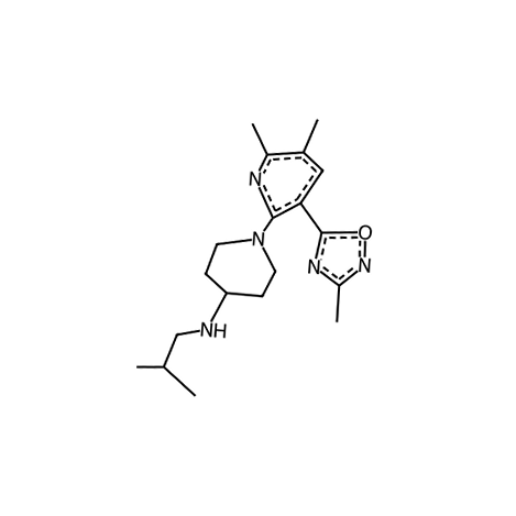 Cc1noc(-c2cc(C)c(C)nc2N2CCC(NCC(C)C)CC2)n1